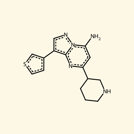 Nc1cc(C2CCCNC2)nc2c(-c3ccsc3)cnn12